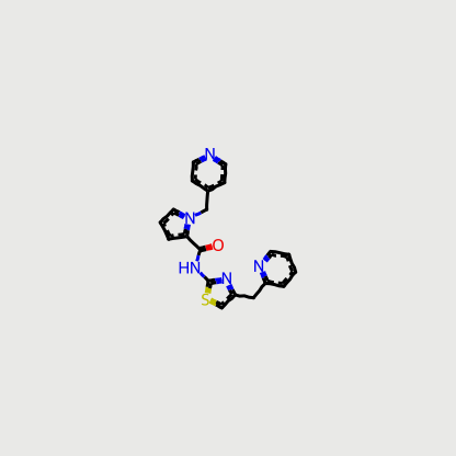 O=C(Nc1nc(Cc2ccccn2)cs1)c1cccn1Cc1ccncc1